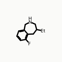 CCC1CNCc2cccc(F)c2C1